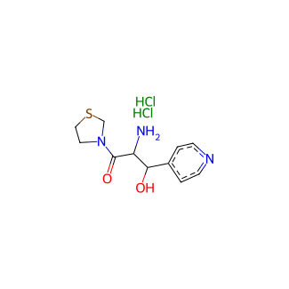 Cl.Cl.NC(C(=O)N1CCSC1)C(O)c1ccncc1